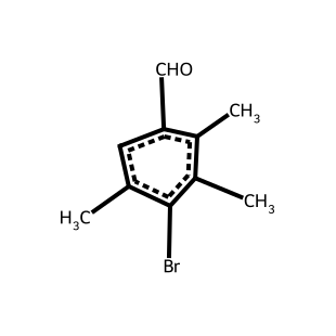 Cc1cc(C=O)c(C)c(C)c1Br